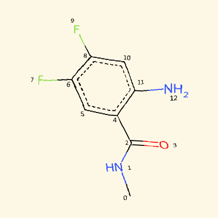 CNC(=O)c1cc(F)c(F)cc1N